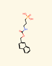 O=C(NCCCP(=O)(O)O)OCc1ccc2ccccc2c1